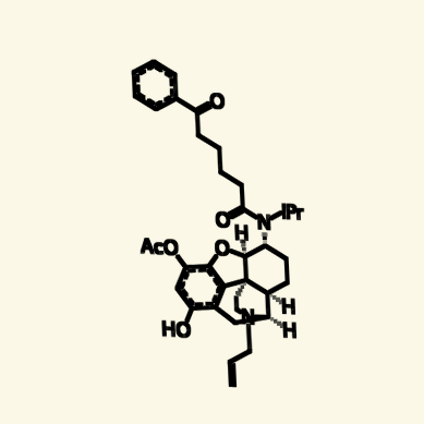 C=CCN1CC[C@]23c4c5c(O)cc(OC(C)=O)c4O[C@H]2[C@H](N(C(=O)CCCCC(=O)c2ccccc2)C(C)C)CC[C@H]3[C@H]1C5